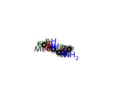 COC1(NS(=O)(=O)c2ccc(F)cc2F)C=CC(c2ccc3nc(N)n(-c4ccccc4Br)c(=O)c3c2)=CN1